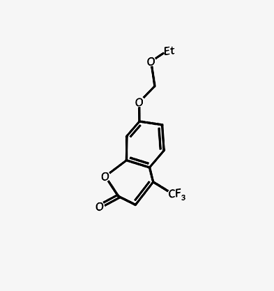 CCOCOc1ccc2c(C(F)(F)F)cc(=O)oc2c1